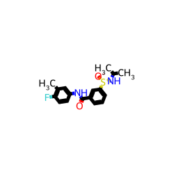 Cc1cc(NC(=O)c2cccc([S+]([O-])NC(C)C)c2)ccc1F